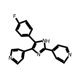 Fc1ccc(-c2[nH]c(-c3ccncc3)nc2-c2ccncc2)cc1